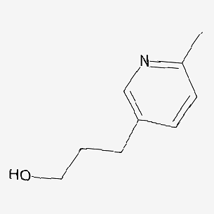 Cc1ccc(CCCO)cn1